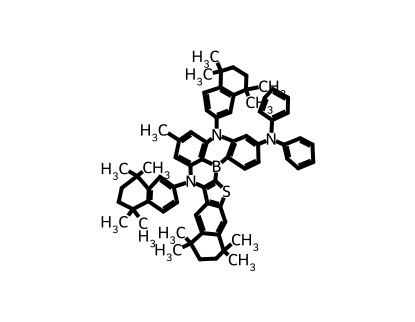 Cc1cc2c3c(c1)N(c1ccc4c(c1)C(C)(C)CCC4(C)C)c1c(sc4cc5c(cc14)C(C)(C)CCC5(C)C)B3c1ccc(N(c3ccccc3)c3ccccc3)cc1N2c1ccc2c(c1)C(C)(C)CCC2(C)C